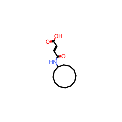 O=C(O)C=CC(=O)NC1CCCCCCCCCCC1